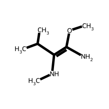 CN/C(=C(\N)OC)C(C)C